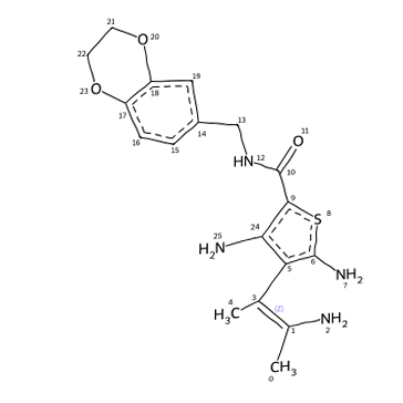 C/C(N)=C(\C)c1c(N)sc(C(=O)NCc2ccc3c(c2)OCCO3)c1N